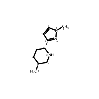 C[C@H]1CC[C@H](c2ccn(C)n2)NC1